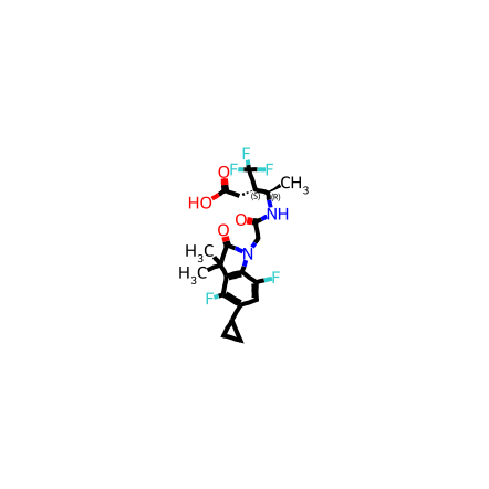 C[C@@H](NC(=O)CN1C(=O)C(C)(C)c2c(F)c(C3CC3)cc(F)c21)[C@H](CC(=O)O)C(F)(F)F